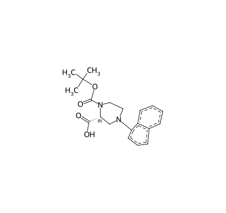 CC(C)(C)OC(=O)N1CCN(c2cccc3ccccc23)C[C@@H]1C(=O)O